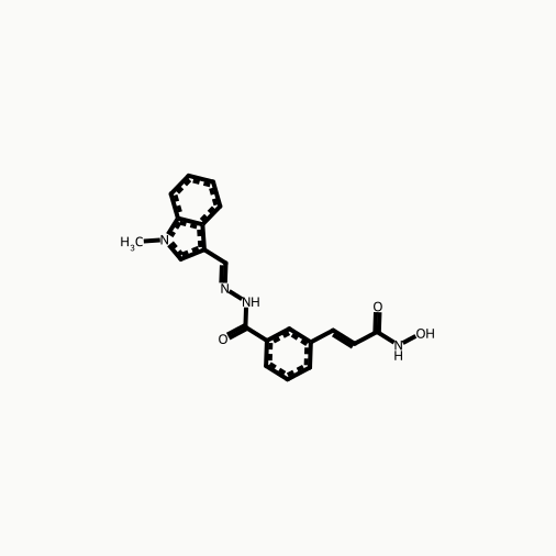 Cn1cc(/C=N/NC(=O)c2cccc(/C=C/C(=O)NO)c2)c2ccccc21